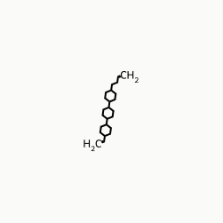 C=CCCC1CCC(C2CCC(C3CCC(C=C)CC3)CC2)CC1